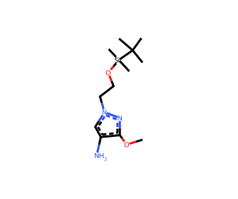 COc1nn(CCO[Si](C)(C)C(C)(C)C)cc1N